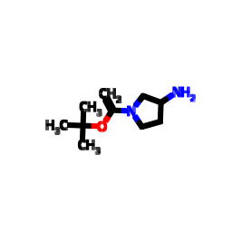 C=C(OC(C)(C)C)N1CCC(N)C1